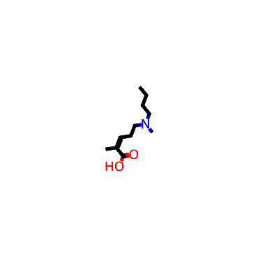 CCCCN(C)CCC=C(C)C(=O)O